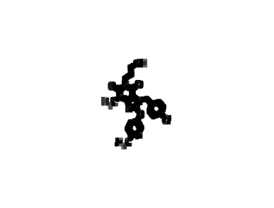 Cc1ccc(Oc2nc3c(c(=O)n(CCCO)c(=O)n3C)n2Cc2ccc(Cl)cc2)cn1